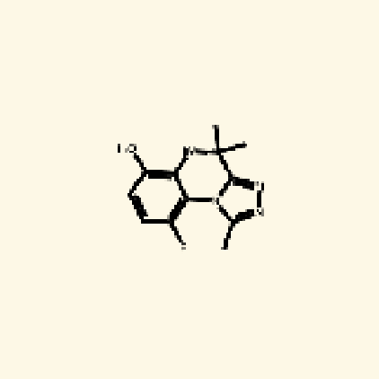 Cc1nnc2n1-c1c(F)ccc(O)c1NC2(C)C